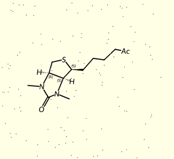 CC(=O)CCCC[C@@H]1SC[C@H]2[C@@H]1N(C)C(=O)N2C